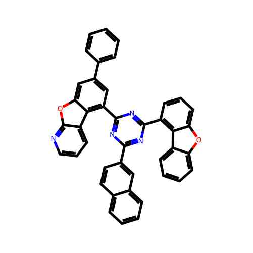 c1ccc(-c2cc(-c3nc(-c4ccc5ccccc5c4)nc(-c4cccc5oc6ccccc6c45)n3)c3c(c2)oc2ncccc23)cc1